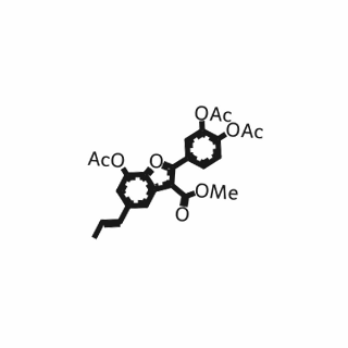 C/C=C/c1cc(OC(C)=O)c2oc(-c3ccc(OC(C)=O)c(OC(C)=O)c3)c(C(=O)OC)c2c1